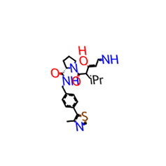 Cc1ncsc1-c1ccc(CNC(=O)[C@@H]2CCCN2C(=O)C(/C(O)=C/C=N)C(C)C)cc1